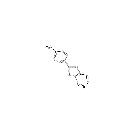 Cc1ccc(-c2nc3cnccc3o2)cn1